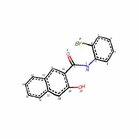 O=C(Nc1ccccc1Br)c1cc2ccccc2cc1O